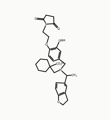 COc1cc(CN(CC2(C(=O)O)CCCCC2)C(C)c2ccc3c(c2)CCO3)ccc1OCCN1C(=O)CCC1=O